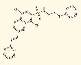 O=S(=O)(NCCSc1ccccc1)c1cc(Cl)c2ccc(C=Cc3ccccc3)nc2c1O